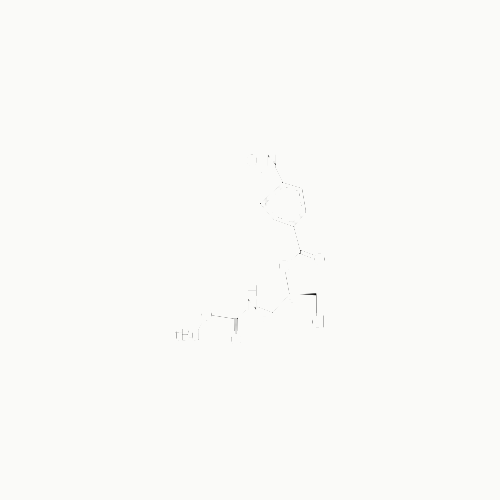 C[C@H](NC(=O)OC(C)(C)C)[C@H](CCl)OC(=O)c1ccc([N+](=O)[O-])cc1